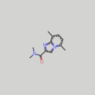 Cc1ccc(C)n2cc(C(=O)N(C)C)nc12